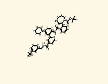 CC(C)(C)OC(=O)N1CCCNCC1c1ccccc1C(=O)Nc1ccc(N2CCCCC2)cc1-c1cc(C(=O)NCc2cccc(C(F)(F)F)c2)ccn1